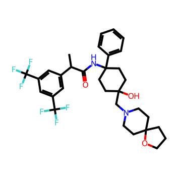 CC(C(=O)NC1(c2ccccc2)CCC(O)(CN2CCC3(CCCO3)CC2)CC1)c1cc(C(F)(F)F)cc(C(F)(F)F)c1